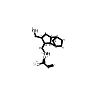 C=CC(=O)O.OCC1CC2C3CCC(C3)C2C1CO